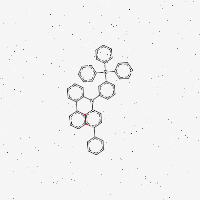 c1ccc(-c2ccc(N(c3cccc([Si](c4ccccc4)(c4ccccc4)c4ccccc4)c3)c3ccccc3-c3ccccc3)cc2)cc1